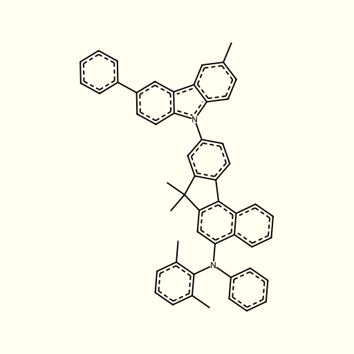 Cc1ccc2c(c1)c1cc(-c3ccccc3)ccc1n2-c1ccc2c(c1)C(C)(C)c1cc(N(c3ccccc3)c3c(C)cccc3C)c3ccccc3c1-2